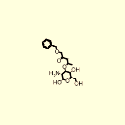 CC([CH]C(=O)COCc1ccccc1)O[C@@H]1[C@@H](N)[C@@H](O)O[C@H](CO)[C@H]1O